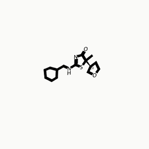 CC1([C@H]2CCOC2)SC(NCC2CCCCC2)=NC1=O